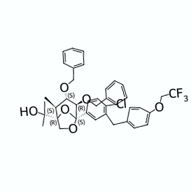 C[C@H]1[C@H](OCc2ccccc2)[C@@H](OCc2ccccc2)[C@@]2(c3ccc(Cl)c(Cc4ccc(OCC(F)(F)F)cc4)c3)OC[C@]1(C(C)(C)O)O2